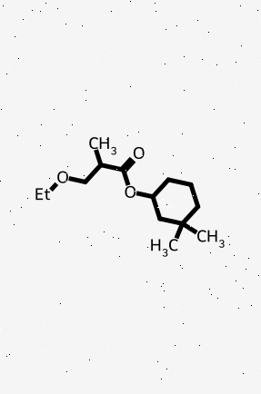 CCOCC(C)C(=O)OC1CCCC(C)(C)C1